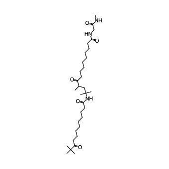 CNC(=O)CNC(=O)CCCCCCCCC(=O)C(C)CC(C)(C)NC(=O)CCCCCCCCC(=O)C(C)(C)C